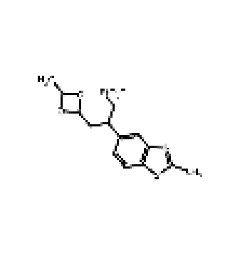 CCOC(=O)CC(CC1OC(C)O1)c1ccc2sc(C)nc2c1